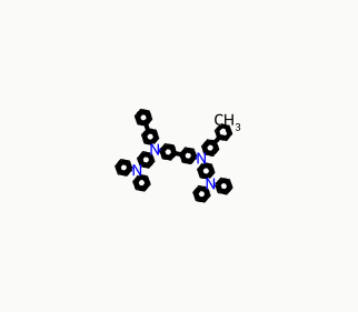 CC1C=CC=C(c2ccc(N(c3ccc(-c4ccc(N(c5ccc(-c6ccccc6)cc5)c5ccc(N(c6ccccc6)c6ccccc6)cc5)cc4)cc3)c3ccc(N(c4ccccc4)c4ccccc4)cc3)cc2)C1